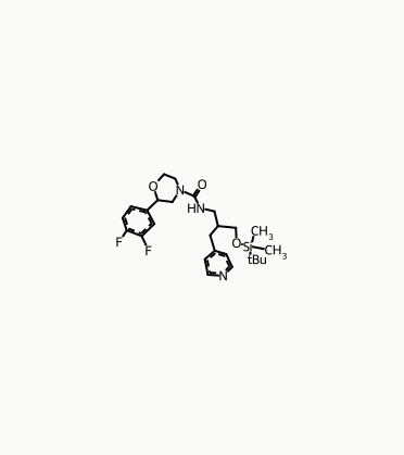 CC(C)(C)[Si](C)(C)OCC(CNC(=O)N1CCOC(c2ccc(F)c(F)c2)C1)Cc1ccncc1